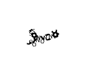 CCOC(=O)c1nn(CC(=O)N2CCN(c3cccc(C)c3C)CC2)c2c1CC1(C2)SCCS1